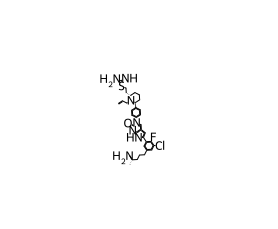 C=CCN1[C@H](CCSC(=N)N)CCC[C@H]1c1ccc(-n2cc3cc(-c4cc(CCC[C@H](C)N)cc(Cl)c4F)[nH]c3nc2=O)cc1